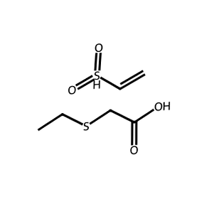 C=C[SH](=O)=O.CCSCC(=O)O